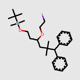 CC(C)(CC(CCO[Si](C)(C)C(C)(C)C)OCCI)C(c1ccccc1)c1ccccc1